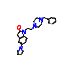 O=C1Cc2cc(-n3cccc3)ccc2N1CCN1CCN(Cc2ccccc2)CC1